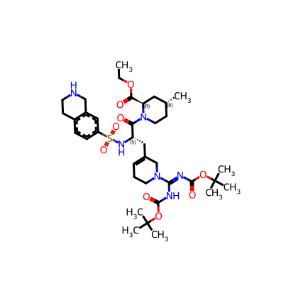 CCOC(=O)[C@H]1C[C@H](C)CCN1C(=O)[C@H](CC1=CCCN(C(=NC(=O)OC(C)(C)C)NC(=O)OC(C)(C)C)C1)NS(=O)(=O)c1ccc2c(c1)CNCC2